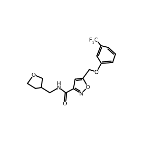 O=C(NCC1CCOC1)c1cc(COc2cccc(C(F)(F)F)c2)on1